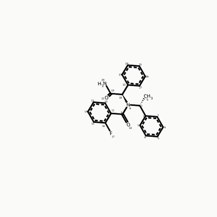 C[C@H](c1ccccc1)N(C(=O)c1ccccc1F)[C@@H](C(N)=O)c1ccccc1